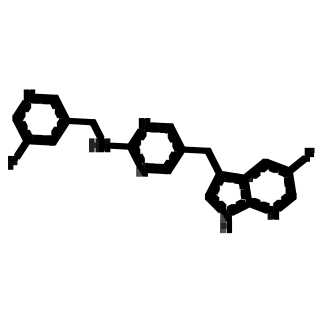 Fc1cncc(CNc2ncc(Cc3c[nH]c4ncc(F)cc34)cn2)c1